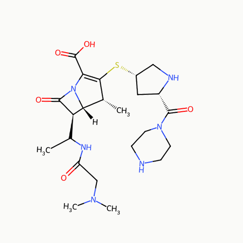 CC(NC(=O)CN(C)C)[C@H]1C(=O)N2C(C(=O)O)=C(S[C@@H]3CN[C@H](C(=O)N4CCNCC4)C3)[C@H](C)[C@H]12